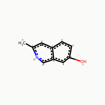 Cc1cc2ccc(O)cc2cn1